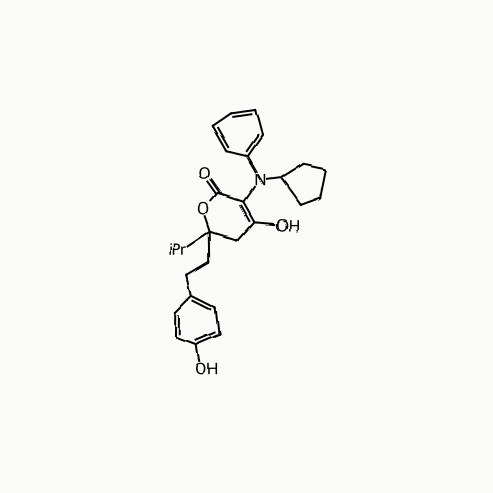 CC(C)C1(CCc2ccc(O)cc2)CC(O)=C(N(c2ccccc2)C2CCCC2)C(=O)O1